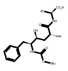 CCC[C@H](C[C@H](O)[C@H](Cc1ccccc1)NC(=O)OC(C)(C)C)C(=O)N[C@H](C(=O)O)C(C)C